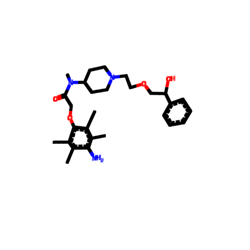 Cc1c(C)c(OCC(=O)N(C)C2CCN(CCOCC(O)c3ccccc3)CC2)c(C)c(C)c1N